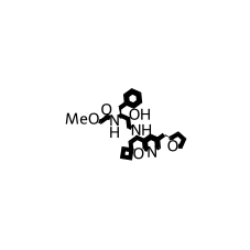 COCC(=O)N[C@@H](Cc1ccccc1)[C@H](O)CN[C@H]1CC2(CCC2)Oc2ncc(C[C@@H]3CCCO3)cc21